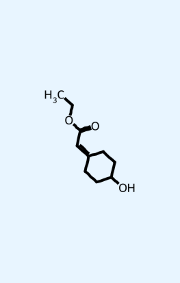 CCOC(=O)C=C1CCC(O)CC1